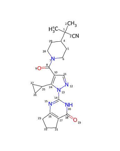 CC(C)(C#N)C1CCN(C(=O)c2cnn(-c3nc4c(c(=O)[nH]3)CCC4)c2C2CC2)CC1